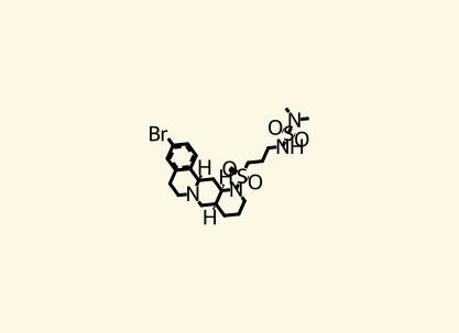 CN(C)S(=O)(=O)NCCCS(=O)(=O)N1CCC[C@H]2CN3CCc4cc(Br)ccc4[C@@H]3C[C@H]21